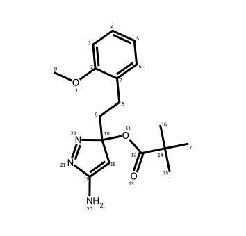 COc1ccccc1CCC1(OC(=O)C(C)(C)C)C=C(N)N=N1